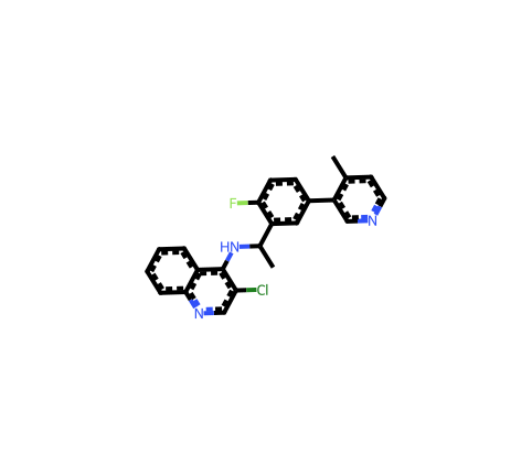 Cc1ccncc1-c1ccc(F)c(C(C)Nc2c(Cl)cnc3ccccc23)c1